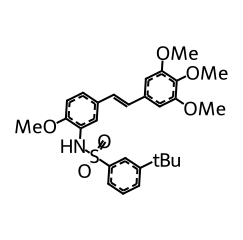 COc1ccc(C=Cc2cc(OC)c(OC)c(OC)c2)cc1NS(=O)(=O)c1cccc(C(C)(C)C)c1